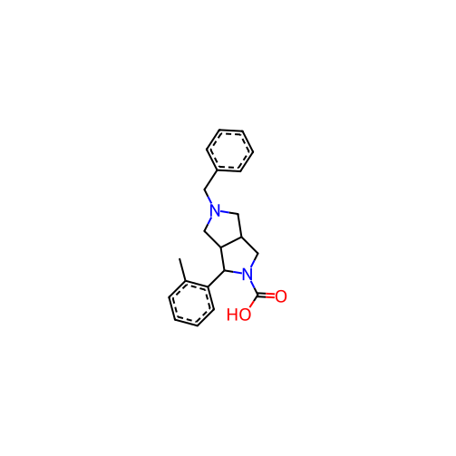 Cc1ccccc1C1C2CN(Cc3ccccc3)CC2CN1C(=O)O